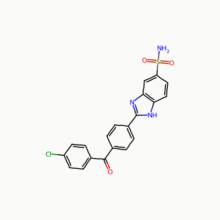 NS(=O)(=O)c1ccc2[nH]c(-c3ccc(C(=O)c4ccc(Cl)cc4)cc3)nc2c1